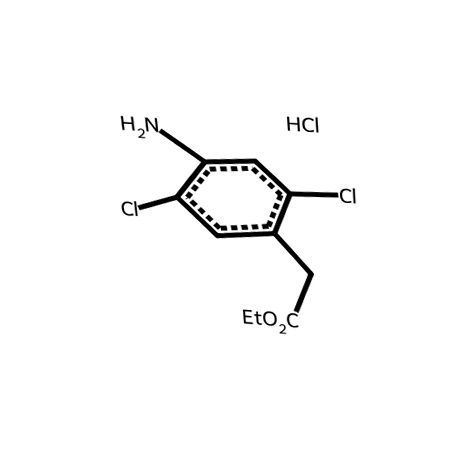 CCOC(=O)Cc1cc(Cl)c(N)cc1Cl.Cl